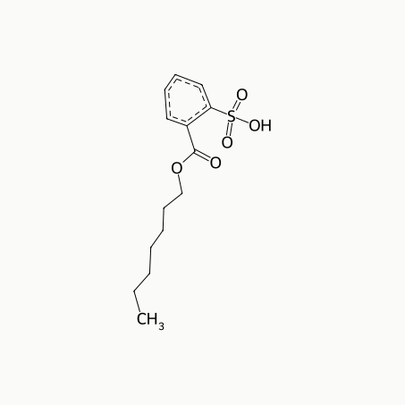 CCCCCCCOC(=O)c1ccccc1S(=O)(=O)O